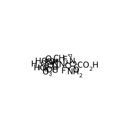 C[C@@H]1CN(c2c(F)c(N)c3c(=O)c(C(=O)O)cn(C4CC4)c3c2F)C[C@H](C)N1C(=O)OC(C)(P(=O)(O)O)P(=O)(O)O